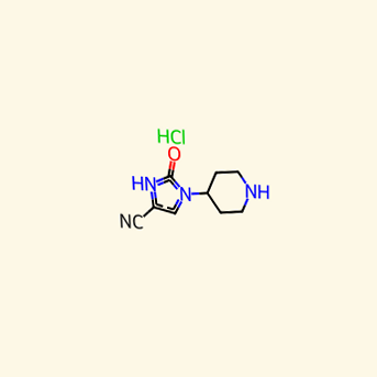 Cl.N#Cc1cn(C2CCNCC2)c(=O)[nH]1